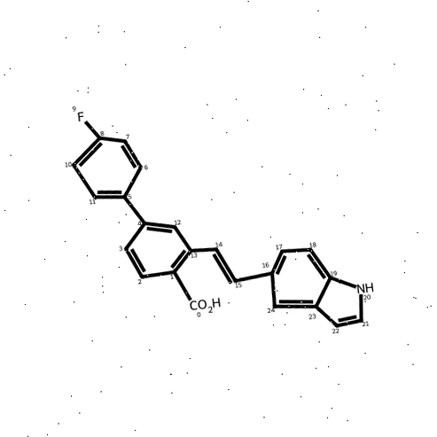 O=C(O)c1ccc(-c2ccc(F)cc2)cc1C=Cc1ccc2[nH]ccc2c1